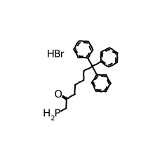 Br.O=C(CP)CCCCC(c1ccccc1)(c1ccccc1)c1ccccc1